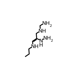 CCCN/C=C(/CNCN)NN